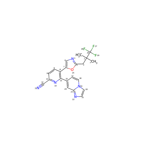 CC(C)(Cc1ncc(-c2ccc(C#N)nc2-c2ccn3ccnc3c2)o1)C(F)(F)F